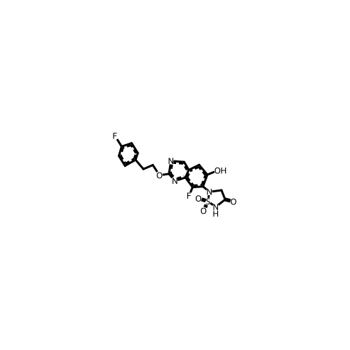 O=C1CN(c2c(O)cc3cnc(OCCc4ccc(F)cc4)nc3c2F)S(=O)(=O)N1